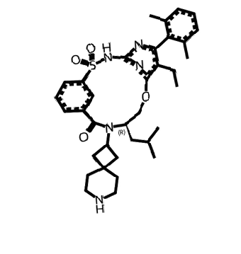 CCc1c2nc(nc1-c1c(C)cccc1C)NS(=O)(=O)c1cccc(c1)C(=O)N(C1CC3(CCNCC3)C1)[C@H](CC(C)C)CO2